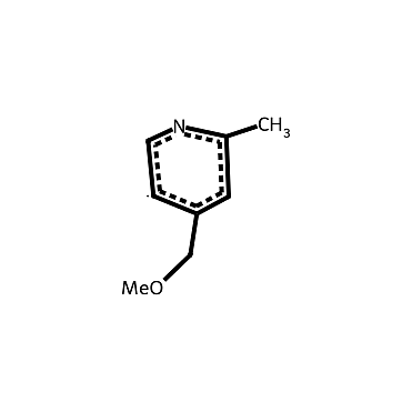 COCc1[c]cnc(C)c1